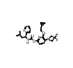 CC(C)CC(NC(=O)Oc1ccc(N2CC(F)(F)C2)c(OCC2CC2)n1)c1ccccn1